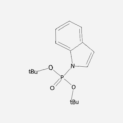 CC(C)(C)OP(=O)(OC(C)(C)C)n1ccc2ccccc21